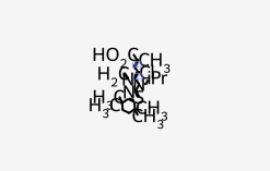 C=N/C(=C(Cl)\C=C(/C)C(=O)O)N(CC(C)C)c1nc2c(s1)C(C)(C)CCC2(C)C